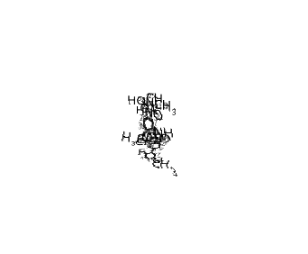 COc1ccc(F)c(-c2ccc(S(=O)(=O)Nc3cc(NC(=O)[C@H](C)N(C)C(=O)O)ccc3OC)c(Cl)c2)c1